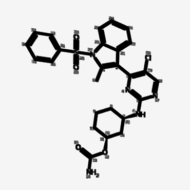 Cc1c(-c2nc(N[C@@H]3CCC[C@H](OC(N)=O)C3)ncc2Cl)c2ccccc2n1S(=O)(=O)c1ccccc1